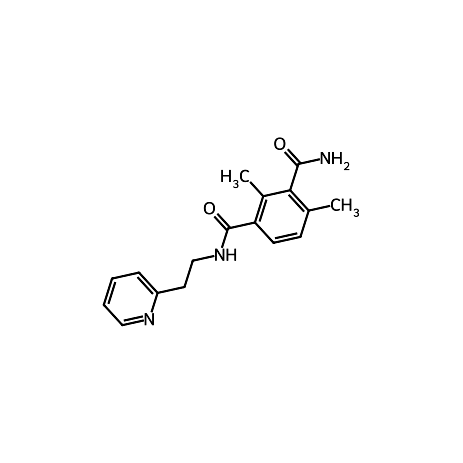 Cc1ccc(C(=O)NCCc2ccccn2)c(C)c1C(N)=O